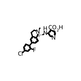 CN1CCc2cc(-c3ccc(Cl)cc3F)ccc2[C@H]1CNc1cnccc1C(=O)O